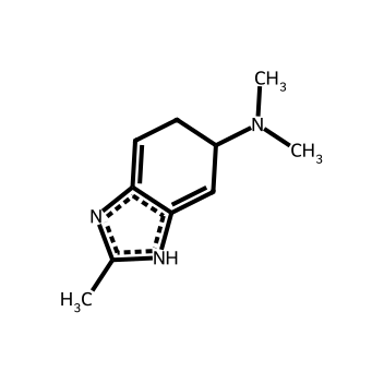 Cc1nc2c([nH]1)=CC(N(C)C)CC=2